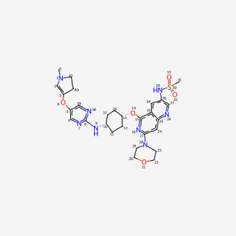 CN1C=C(Oc2cnc(N[C@H]3CC[C@@H](Oc4nc(N5CCOCC5)cc5ncc(NS(C)(=O)=O)cc45)CC3)nc2)CC1